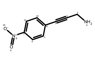 NCC#Cc1ccc([N+](=O)[O-])cc1